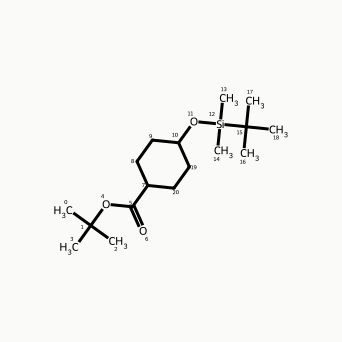 CC(C)(C)OC(=O)C1CCC(O[Si](C)(C)C(C)(C)C)CC1